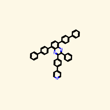 c1ccc(-c2ccc(-c3ccc(-c4ccc(-c5ccccc5)cc4)c4nc(-c5ccc(-c6ccncc6)cc5)c(-c5ccccc5)nc34)cc2)cc1